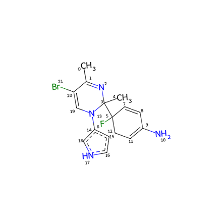 CC1=NC(C)(C2(F)C=CC(N)=CC2)N(c2cc[nH]c2)C=C1Br